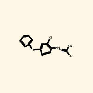 CC(=O)/C(C#N)=N/Nc1ccc(Oc2ccccc2)cc1Cl